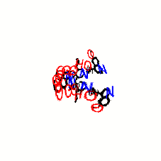 C=CCC1CN(C[C@@H](O)c2ccnc3ccc(OC)cc23)CC(C2N(c3ccc4c(c3)OCCO4)C(=O)O[C@@]23CCN(C[C@H](O)c2ccnc4ccc(OC)cc24)C[C@H]3CC=C)C12CN(c1ccc3c(c1)OCCO3)C(=O)O2